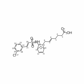 O=C(O)CCCC=CCC1C2C=CC(C2)C1NS(=O)(=O)C=Cc1cccc(Cl)c1